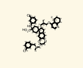 C[C@@H](COc1ccnc2c1[C@H](C)CCC2)C[C@H]1Cc2cc3c(cc2C12CCC(Nc1cccc(Cl)c1)(C(=O)O)CC2)O[C@@H](CN(C)Cc1cccc(Cl)c1)CO3